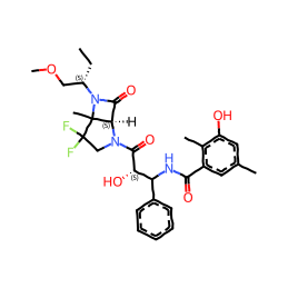 CC[C@@H](COC)N1C(=O)[C@H]2N(C(=O)[C@@H](O)C(NC(=O)c3cc(C)cc(O)c3C)c3ccccc3)CC(F)(F)C21C